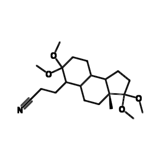 COC1(OC)CCC2C(CC[C@]3(C)C2CCC3(OC)OC)C1CCC#N